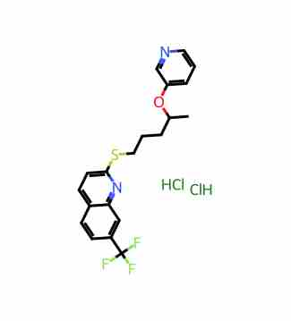 CC(CCCSc1ccc2ccc(C(F)(F)F)cc2n1)Oc1cccnc1.Cl.Cl